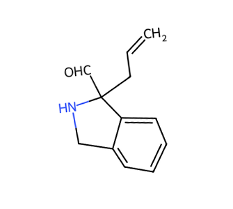 C=CCC1(C=O)NCc2ccccc21